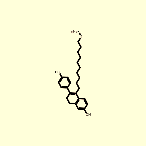 CCCCCCSCCCCCCCCCCC1=C(c2ccc(O)cc2)CCc2cc(O)ccc21